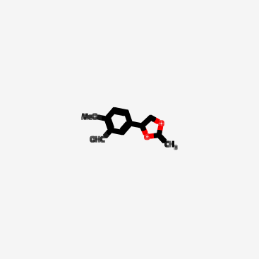 COc1ccc(C2COC(C)O2)cc1C=O